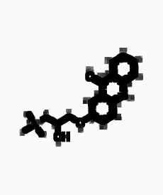 C[N+](C)(C)CC(O)COc1ccc2sc3ccccc3c(=O)c2c1